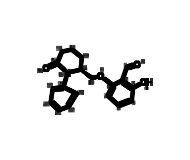 O=Cc1c(O)cccc1OC[C@@H]1CCCC(=O)N1c1ccccc1